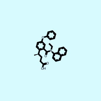 CCN(C(=O)c1cc(Oc2ccccc2)ccc1[C@H](C)CCC(=O)O)c1cccc2ccccc12